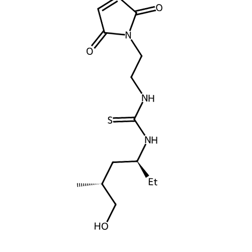 CC[C@@H](C[C@@H](C)CO)NC(=S)NCCN1C(=O)C=CC1=O